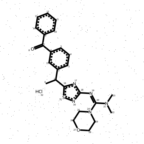 CC(c1cccc(C(=O)c2ccccc2)c1)c1nc(N=C(N(C)C)N2CCOCC2)ns1.Cl